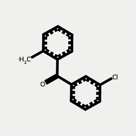 [CH2]c1ccccc1C(=O)c1cccc(Cl)c1